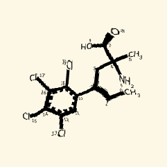 CCC(CC(C)(N)C(=O)O)c1cc(Cl)c(Cl)c(Cl)c1Cl